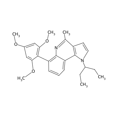 CCC(CC)n1ccc2c(C)nc3c(-c4c(OC)cc(OC)cc4OC)cccc3c21